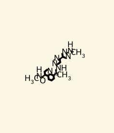 CNC(=O)c1ccnc2c([C@H](C)CNc3cc(-c4cnc(NC)nc4)ncn3)cccc12